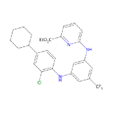 CCOC(=O)c1cccc(Nc2cc(Nc3ccc(C4CCCCC4)cc3Cl)cc(C(F)(F)F)c2)n1